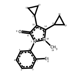 CCc1ccccc1-n1c(=O)c(C2CC2)c(C2CC2)n1C